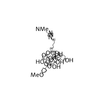 CNCc1cn(C[C@H](C)CCC[C@@H](C)[C@H]2[C@@H](O[C@H]3OC[C@H](O)C(O[C@@H]4OC[C@@H](O)C(O)[C@H]4OC(=O)c4ccc(OC)cc4)[C@H]3OC(C)=O)C[C@H]3[C@@H]4CC=C5C[C@@H](O)CC[C@]5(C)[C@H]4CC[C@]23C)nn1